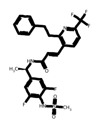 C[C@@H](NC(=O)/C=C/c1ccc(C(F)(F)F)nc1CCc1ccccc1)c1cc(F)c(NS(C)(=O)=O)c(F)c1